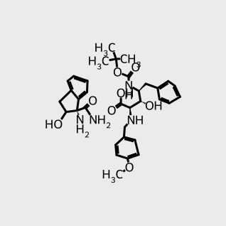 COc1ccc(CN[C@@H](C(=O)O)[C@@H](O)[C@H](Cc2ccccc2)NC(=O)OC(C)(C)C)cc1.NC(=O)[C@]1(N)c2ccccc2CC1O